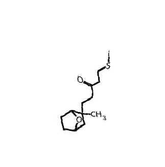 CC1(CCC(=O)CCSI)CC2CCC1O2